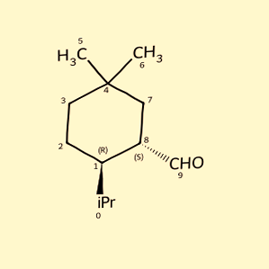 CC(C)[C@H]1CCC(C)(C)C[C@@H]1C=O